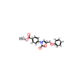 CC(C)(C)OC(=O)c1ccc(-n2cc(COc3ccccc3)oc2=O)cc1